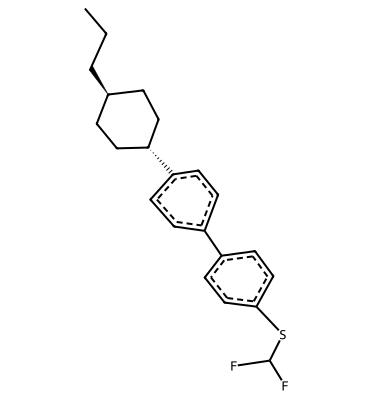 CCC[C@H]1CC[C@H](c2ccc(-c3ccc(SC(F)F)cc3)cc2)CC1